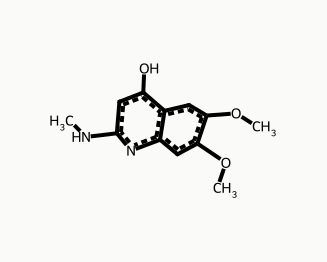 CNc1cc(O)c2cc(OC)c(OC)cc2n1